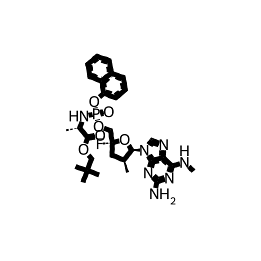 CNc1nc(N)nc2c1ncn2[C@@H]1O[C@](F)(COP(=O)(N[C@@H](C)C(=O)OCC(C)(C)C)Oc2cccc3ccccc23)C[C@@H]1C